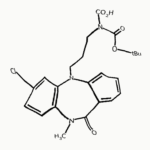 CN1C(=O)c2ccccc2N(CCCN(C(=O)O)C(=O)OC(C)(C)C)c2cc(Cl)ccc21